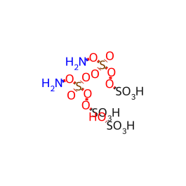 NOS(=O)(=O)OOS(=O)(=O)O.NOS(=O)(=O)OOS(=O)(=O)O.O=S(=O)(O)O